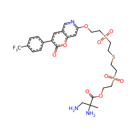 CC(N)(CN)C(=O)OCCS(=O)(=O)CCSCCS(=O)(=O)CCOc1cc2oc(=O)c(-c3ccc(C(F)(F)F)cc3)cc2cn1